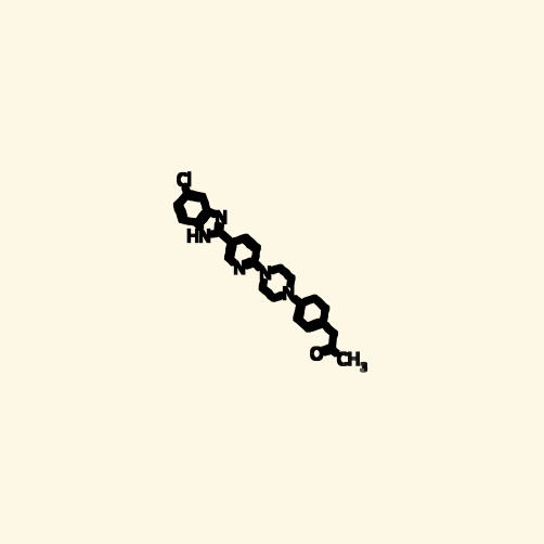 CC(=O)CC1=CC=C(N2CCN(c3ccc(-c4nc5cc(Cl)ccc5[nH]4)cn3)CC2)CC1